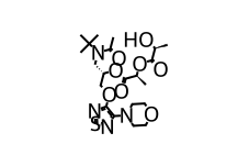 CC(=O)N(C[C@@H](COc1nsnc1N1CCOCC1)OC(=O)[C@H](C)OC(=O)[C@H](C)O)C(C)(C)C